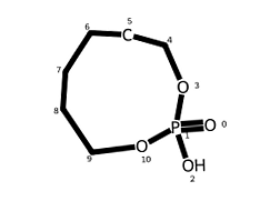 O=P1(O)OCCCCCCO1